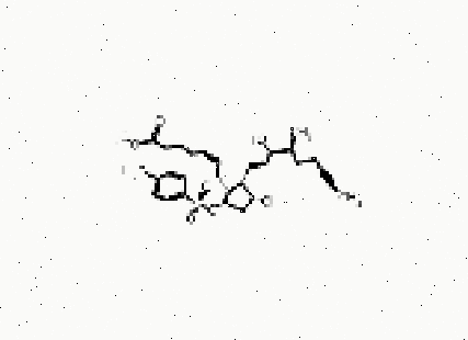 CC#CCCC(C)[C@H](O)/C=C/[C@@H]1[C@@H](C/C=C\CCCC(=O)OC)[C@H](OS(=O)(=O)c2ccc(C)cc2)C[C@H]1O